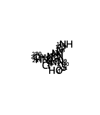 OC1CN(c2nc(N3CCNCC3)nc3nc(NCc4ccccc4)c(Cl)nc23)CCS1